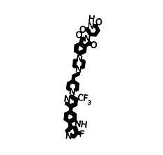 O=C1CCC(N2C(=O)c3ccc(N4CCN(CCC5CCN(c6ncc(-c7ccc8c(c7)[nH]c7c(F)cncc78)cc6C(F)(F)F)CC5)CC4)cc3C2=O)C(=O)N1